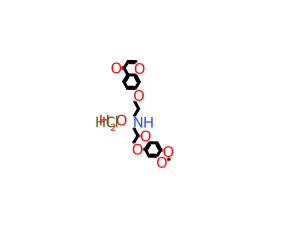 Cl.O.O=c1ccoc2cc(OCCCNCC3COc4cc5c(cc4O3)OCO5)ccc12